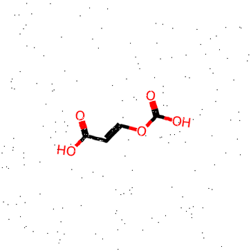 O=C(O)C=COC(=O)O